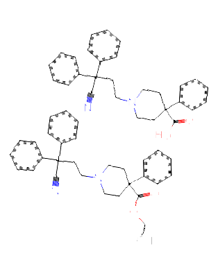 CCOC(=O)C1(c2ccccc2)CCN(CCC(C#N)(c2ccccc2)c2ccccc2)CC1.N#CC(CCN1CCC(C(=O)O)(c2ccccc2)CC1)(c1ccccc1)c1ccccc1